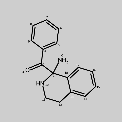 NC1(C(=O)c2ccccc2)NCCc2ccccc21